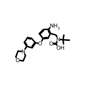 CC(C)(C)N(Cc1cc(Oc2cccc(N3CCOCC3)c2)ccc1N)C(=O)O